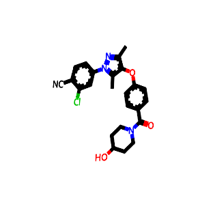 Cc1nn(-c2ccc(C#N)c(Cl)c2)c(C)c1Oc1ccc(C(=O)N2CCC(O)CC2)cc1